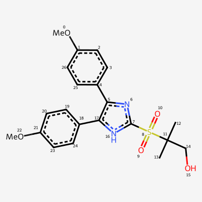 COc1ccc(-c2nc(S(=O)(=O)C(C)(C)CO)[nH]c2-c2ccc(OC)cc2)cc1